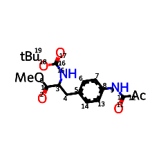 COC(=O)C(Cc1ccc(NC(=O)C(C)=O)cc1)NC(=O)OC(C)(C)C